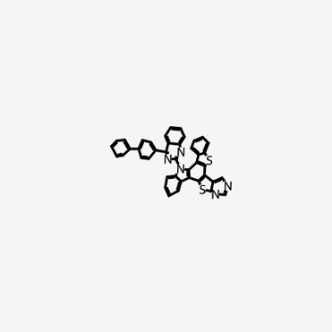 c1ccc(-c2ccc(-c3nc(-n4c5ccccc5c5c6sc7ncncc7c6c6sc7ccccc7c6c54)nc4ccccc34)cc2)cc1